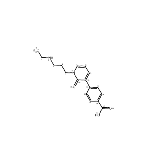 CCNCCCn1cccc(-c2ccc(C(=O)O)cc2)c1=O